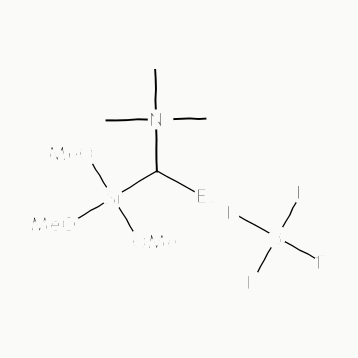 CCC([N+](C)(C)C)[Si](OC)(OC)OC.F[B-](F)(F)F